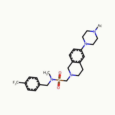 CC(=O)N1CCN(c2ccc3c(c2)CCN(CS(=O)(=O)N(C)Cc2ccc(C(F)(F)F)cc2)C3)CC1